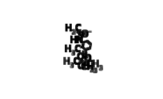 C=C[S+]([O-])Nc1cccc(B2OC(C)(C)C(C)(C)O2)c1C